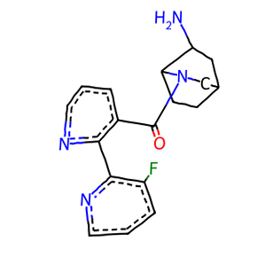 NC1CC2CCC1N(C(=O)c1cccnc1-c1ncccc1F)C2